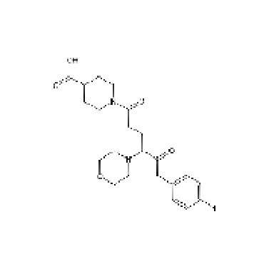 O=C(O)C1CCN(C(=O)CCC(C(=O)Cc2ccc(I)cc2)N2CCOCC2)CC1